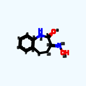 O=C1Nc2ccccc2CCC1=NO